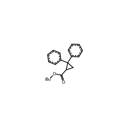 CCC(C)OC(=O)C1CC1(c1ccccc1)c1ccccc1